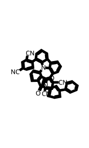 N#Cc1ccc(-c2cccc3c4cccc(-c5ccc(C#N)cc5C#N)c4n(-c4cccc5c4C(=O)N(c4cccc(-c6ccccc6)c4)C5=O)c23)c(C#N)c1